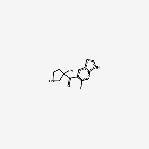 CCCC1(C(=O)c2cc3cc[nH]c3cc2F)CCNC1